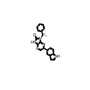 C[C@@H](c1ccccc1)n1c(=O)[nH]c2ncc(-c3ccc4[nH]ccc4c3)nc21